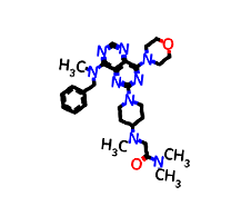 CN(C)C(=O)CN(C)C1CCN(c2nc(N3CCOCC3)c3ncnc(N(C)Cc4ccccc4)c3n2)CC1